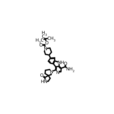 CC(C)(C)OC(=O)N1CCC(c2ccc3c(c2)[nH]c2c(C(N)=O)cnc(N4CCCC5(CCNC5=O)C4)c23)CC1